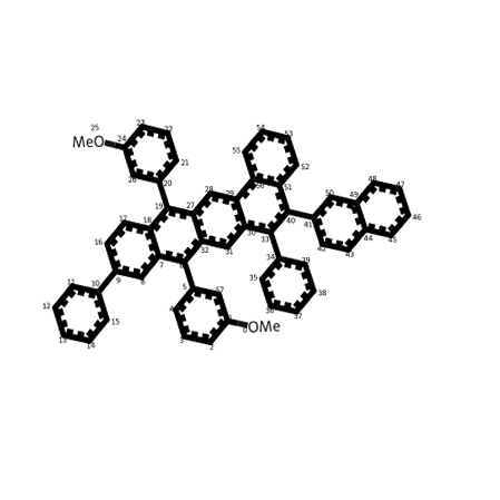 COc1cccc(-c2c3cc(-c4ccccc4)ccc3c(-c3cccc(OC)c3)c3cc4c(cc23)c(-c2ccccc2)c(-c2ccc3ccccc3c2)c2ccccc24)c1